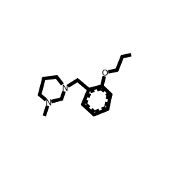 CCCOc1ccccc1CN1CCCN(C)C1